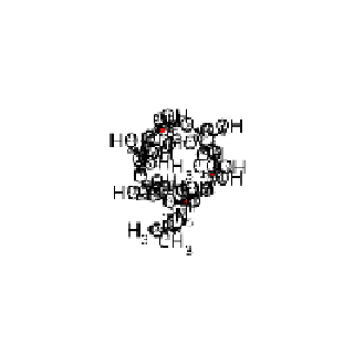 CCC1OC2OC3C(CO)OC(OC4C(CO)OC(OC5C(CO)OC(OC6C(CO)OC(OC7C(CN8CCN(C(C)C)CC8)OC(OC1C(O)C2O)C(O)C7O)C(O)C6O)C(O)C5O)C(O)C4O)C(O)C3O